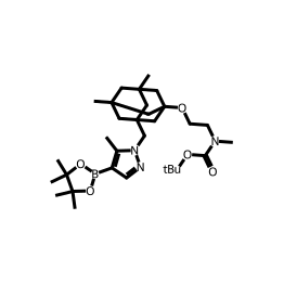 Cc1c(B2OC(C)(C)C(C)(C)O2)cnn1CC12CC3(C)CC(C)(C1)CC(OCCN(C)C(=O)OC(C)(C)C)(C3)C2